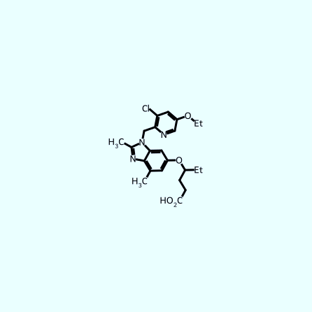 CCOc1cnc(Cn2c(C)nc3c(C)cc(OC(CC)CCC(=O)O)cc32)c(Cl)c1